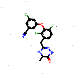 CC1NC(Cc2ccc(Cl)c(Oc3cc(Cl)cc(C#N)c3)c2F)=NNC1=O